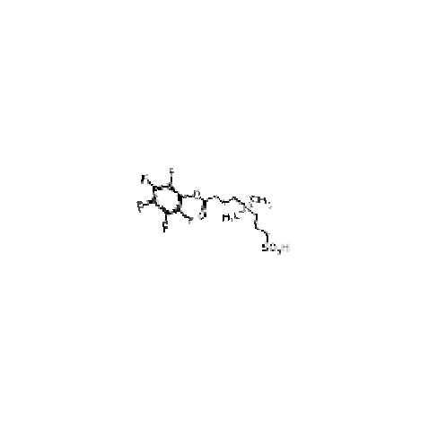 C[N+](C)(CCCC(=O)Oc1c(F)c(F)c(F)c(F)c1F)CCCS(=O)(=O)O